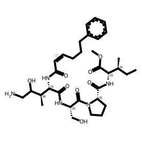 CC[C@H](C)[C@H](NC(=O)[C@@H]1CCCN1C(=O)[C@H](CO)NC(=O)[C@@H](NC(=O)/C=C\CCCc1ccccc1)[C@@H](C)C(O)CN)C(=O)OC